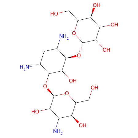 NC1C(O)[C@@H](OC2C(O)[C@H](O[C@@H]3OC(CO)[C@@H](O)C(O)C3O)C(N)C[C@H]2N)OC(CO)[C@H]1O